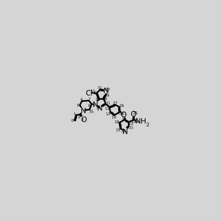 C=CC(=O)N1CCCC(n2nc(-c3ccc(Oc4ccncc4C(N)=O)cc3)c3cncc(Cl)c32)C1